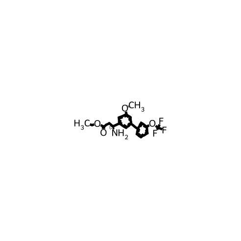 CCOC(=O)C[C@H](N)c1cc(OC)cc(-c2cccc(OC(F)(F)F)c2)c1